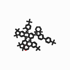 Cc1cc(C(C)(C)C)ccc1N1c2cc3c(cc2B2c4cc5c(cc4N(c4ccc(C(C)(C)C)cc4-c4ccccc4)c4cc(N6c7ccc(-c8ccc(C(C)(C)C)cc8)cc7C7(C)CCCCC67C)cc1c42)C(C)(C)CC5(C)C)C(C)(C)CC3(C)C